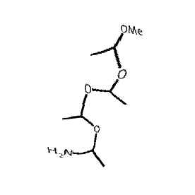 COC(C)OC(C)OC(C)OC(C)N